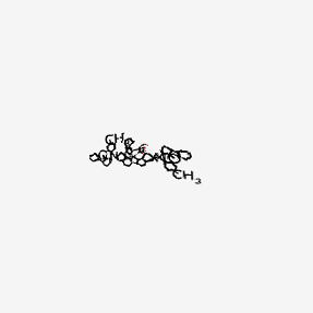 Cc1ccc(N(c2ccc3c4c(ccc3c2)-c2ccc3cc(N(c5ccc(C)cc5)c5cccc6c5oc5ccccc56)ccc3c2C42c3ccccc3-c3c2ccc2ccccc32)c2cccc3c2oc2ccccc23)cc1